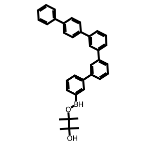 CC(C)(O)C(C)(C)OBc1cccc(-c2cccc(-c3cccc(-c4ccc(-c5ccccc5)cc4)c3)c2)c1